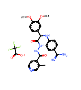 CCOc1cc(C(Nc2ccc(C(=N)N)cc2)C(=O)NNC(=O)c2ccncc2C)ccc1OC(C)C.O=C(O)C(F)(F)F